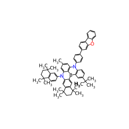 Cc1cc2c3c(c1)N(c1ccc4c(c1)C(C)(C)CCC4(C)C)c1cc4c(cc1B3c1cc(C(C)(C)C)ccc1N2c1ccc(-c2ccc3c(c2)oc2ccccc23)cc1)C(C)(C)CCC4(C)C